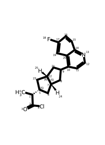 CC(C(=O)Cl)[C@H]1C[C@H]2CC(c3ccnc4ccc(F)cc34)C[C@H]2C1